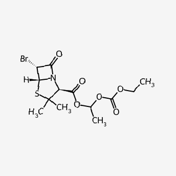 CCOC(=O)OC(C)OC(=O)[C@@H]1N2C(=O)[C@@H](Br)[C@H]2SC1(C)C